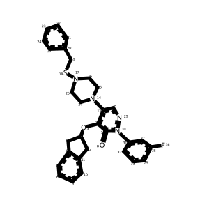 O=c1c(OC2Cc3ccccc3C2)c(N2CCN(SCc3ccccc3)CC2)cnn1-c1cccc(F)c1